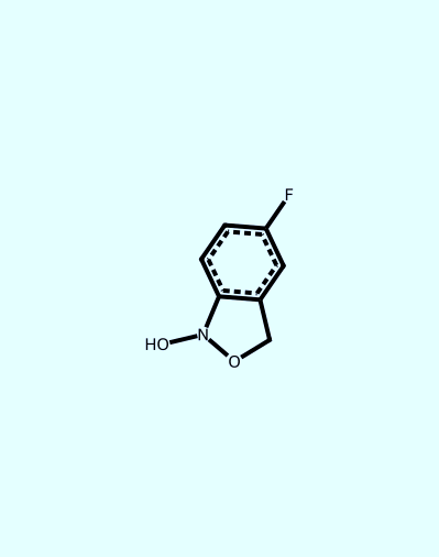 ON1OCc2cc(F)ccc21